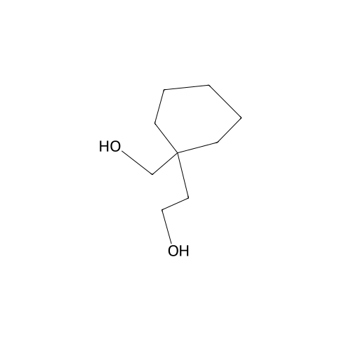 OCCC1(CO)CCCCC1